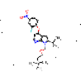 CC(C)c1cc2c(Oc3ccc([N+](=O)[O-])cc3F)ccnc2n1COCC[Si](C)(C)C